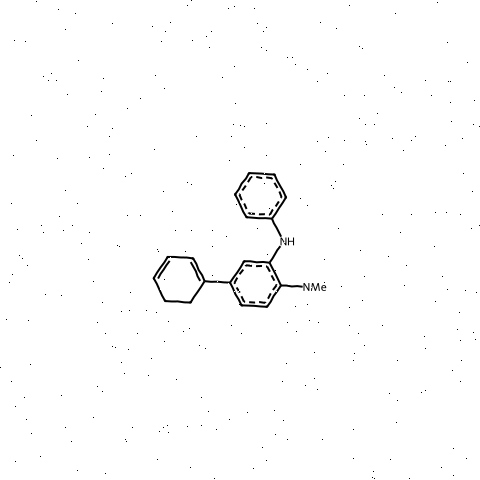 CNc1ccc(C2=CC=CCC2)cc1Nc1ccccc1